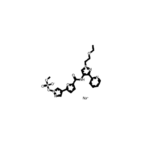 CCOCCn1cc(NC(=O)c2ccc(-c3cnn(OP(=O)([O-])OC)c3)o2)c(-c2ccccn2)n1.[Na+]